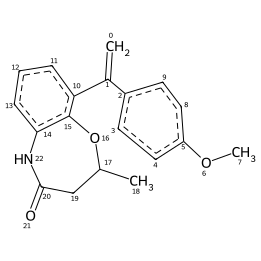 C=C(c1ccc(OC)cc1)c1cccc2c1OC(C)CC(=O)N2